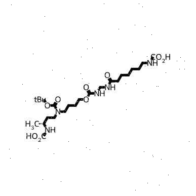 C[C@H](CCN(CCCCOC(=O)NCNC(=O)CCCCCCNC(=O)O)C(=O)OC(C)(C)C)NC(=O)O